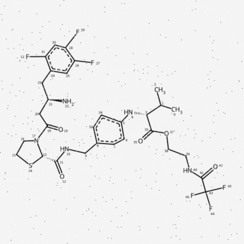 CC(C)[C@@H](Nc1ccc(CNC(=O)[C@@H]2SCCN2C(=O)C[C@H](N)Cc2cc(F)c(F)cc2F)cc1)C(=O)OCCNC(=O)C(F)(F)F